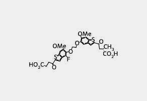 COc1cc2sc(C(=O)C[C@H](C)C(=O)O)cc2cc1OCCOc1c(OC)cc2sc(C(=O)CCC(=O)O)cc2c1F